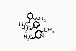 C=Cc1ccc(C)nc1.C=Cc1ccccc1.C=Cc1ccccc1C=C